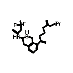 C=C(CCCC(=C)c1cccc2c1CBC(NC(=C)CC(C)(F)F)C2)CC(C)C